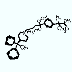 COC(CCCN1CCC(C(O)(c2ccccc2)c2ccccc2)CC1)(OC)c1ccc(C(C)(C)C(=O)O)cc1